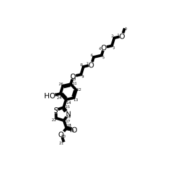 COCCOCCOCCOc1ccc(C2=NC(C(=O)OC)CS2)c(O)c1